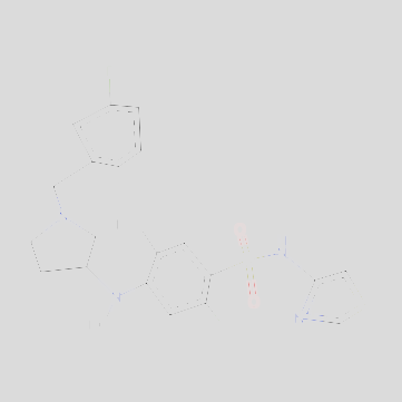 Cc1cc(S(=O)(=O)Nc2cscn2)c(F)cc1N(C)C1CCN(Cc2cccc(F)c2)C1